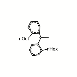 CCCCCCCCc1ccccc1[C](C)c1ccccc1CCCCCC